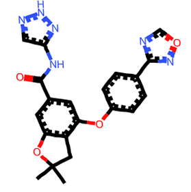 CC1(C)Cc2c(Oc3ccc(-c4ncon4)cc3)cc(C(=O)Nc3cn[nH]n3)cc2O1